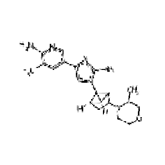 CC(C)c1nc(-c2cnc(N)c(C(F)(F)F)c2)cn1[C@]12C3C(N4CCOC[C@@H]4C)C[C@@H]1[C@H]32